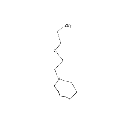 OCCOCCN1CC[CH]CC1